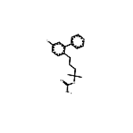 CC(C)(CCCc1ccc(F)cc1-c1ccncc1)OC(N)=O